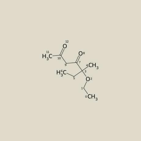 CCOC(C)(CC)C(=O)CC(C)=O